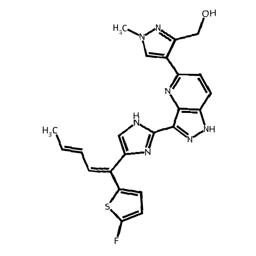 C/C=C/C=C(\c1c[nH]c(-c2n[nH]c3ccc(-c4cn(C)nc4CO)nc23)n1)c1ccc(F)s1